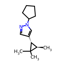 C[C@@H]1[C@@H](c2cnn(C3CCCC3)c2)C1(C)C